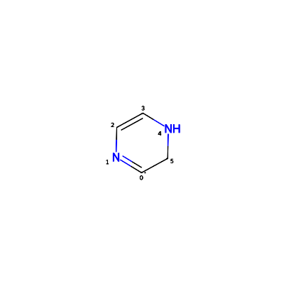 [C]1=NC=CNC1